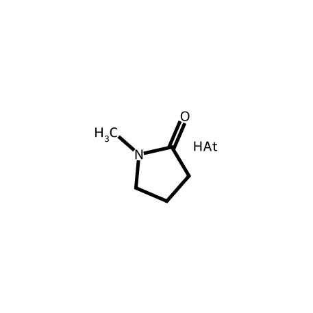 CN1CCCC1=O.[AtH]